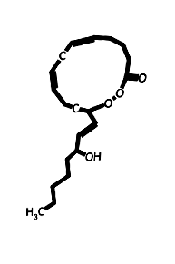 CCCCCC(O)C=CC1CCC=CCC=CCCCC(=O)OO1